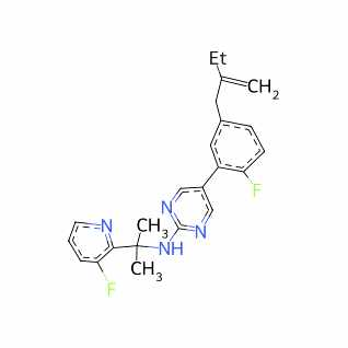 C=C(CC)Cc1ccc(F)c(-c2cnc(NC(C)(C)c3ncccc3F)nc2)c1